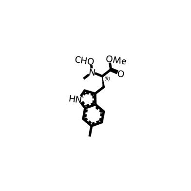 COC(=O)[C@@H](Cc1c[nH]c2cc(C)ccc12)N(C)C=O